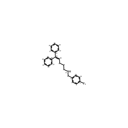 Fc1ccc(CNCCCC=C(c2ccccc2)c2ccccc2)cc1